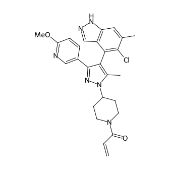 C=CC(=O)N1CCC(n2nc(-c3ccc(OC)nc3)c(-c3c(Cl)c(C)cc4[nH]ncc34)c2C)CC1